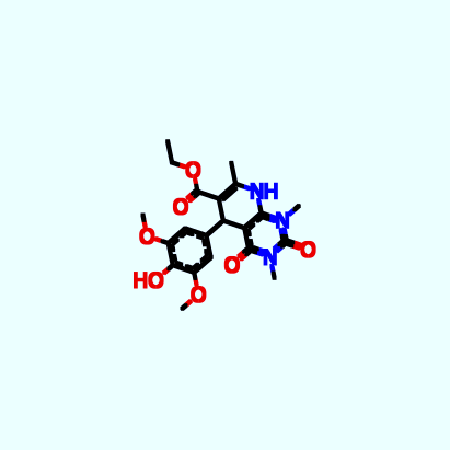 CCOC(=O)C1=C(C)Nc2c(c(=O)n(C)c(=O)n2C)C1c1cc(OC)c(O)c(OC)c1